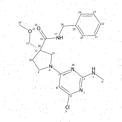 CNc1nc(Cl)cc(N2CC[C@@](COC)(C(=O)NCc3ccccc3)C2)n1